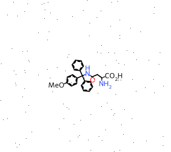 COc1ccc(C(NC(=O)C[C@H](N)C(=O)O)(c2ccccc2)c2ccccc2)cc1